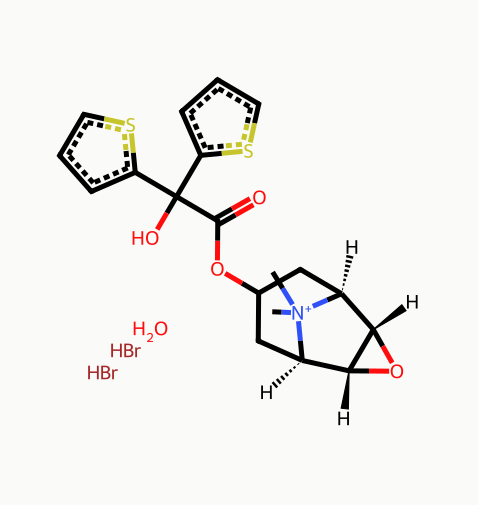 Br.Br.C[N+]1(C)[C@@H]2CC(OC(=O)C(O)(c3cccs3)c3cccs3)C[C@H]1[C@@H]1O[C@@H]12.O